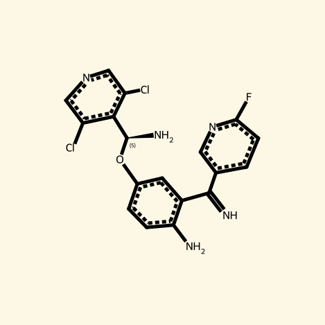 N=C(c1ccc(F)nc1)c1cc(O[C@H](N)c2c(Cl)cncc2Cl)ccc1N